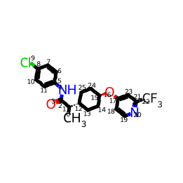 CC(C(=O)Nc1ccc(Cl)cc1)[C@H]1CC[C@H](Oc2ccnc(C(F)(F)F)c2)CC1